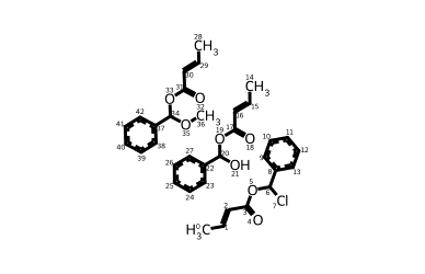 C/C=C/C(=O)OC(Cl)c1ccccc1.C/C=C/C(=O)OC(O)c1ccccc1.C/C=C/C(=O)OC(OC)c1ccccc1